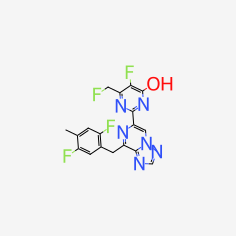 Cc1cc(F)c(Cc2nc(-c3nc(O)c(F)c(CF)n3)cn3ncnc23)cc1F